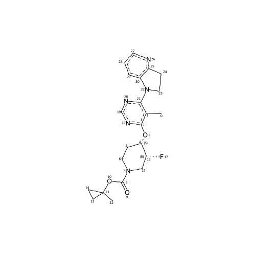 Cc1c(O[C@H]2CCN(C(=O)OC3(C)CC3)C[C@H]2F)ncnc1N1CCc2ncccc21